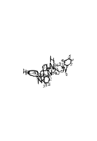 CN1c2ccccc2[C@]12CC[C@]1(CC2)CN(c2cccc3nc(O)oc23)C(=O)N1